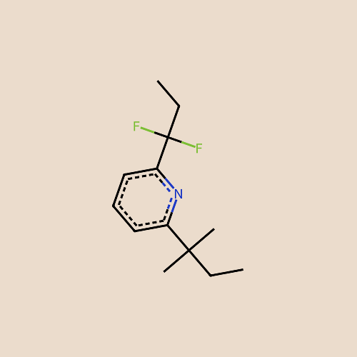 CCC(C)(C)c1cccc(C(F)(F)CC)n1